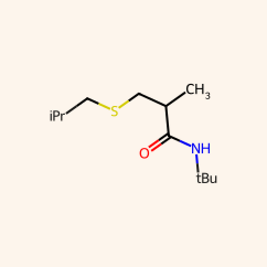 CC(C)CSCC(C)C(=O)NC(C)(C)C